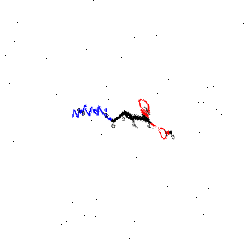 COC(=O)/C=C/CN=[N+]=[N-]